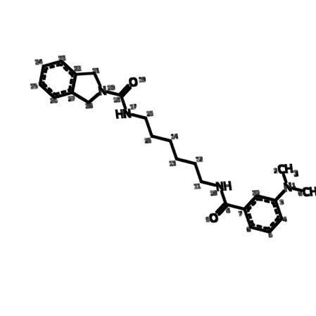 CN(C)c1cccc(C(=O)NCCCCCCNC(=O)N2Cc3ccccc3C2)c1